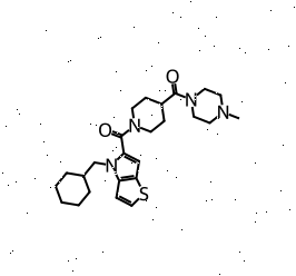 CN1CCN(C(=O)C2CCN(C(=O)c3cc4sccc4n3CC3CCCCC3)CC2)CC1